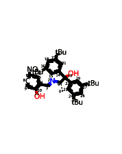 C[C@H](N=Cc1cc([N+](=O)[O-])ccc1O)C(O)(c1cc(C(C)(C)C)cc(C(C)(C)C)c1)c1cc(C(C)(C)C)cc(C(C)(C)C)c1